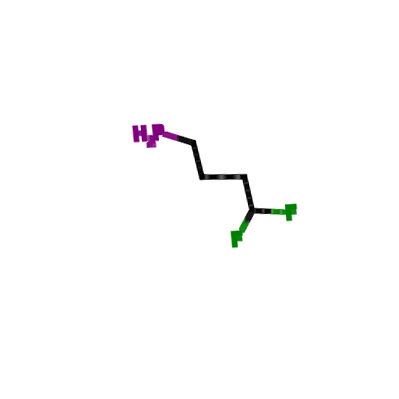 FC(F)CCCP